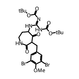 COc1c(Br)cc(CC2C(=O)NCCC(NC(=NC(=O)OC(C)(C)C)NC(=O)OC(C)(C)C)C2=O)cc1Br